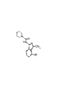 CC(C)c1cccc2c(NC(=O)N3CCOCC3)nn(C)c12